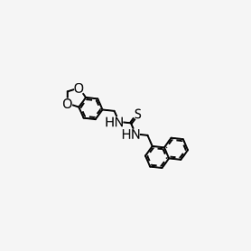 S=C(NCc1ccc2c(c1)OCO2)NCc1cccc2ccccc12